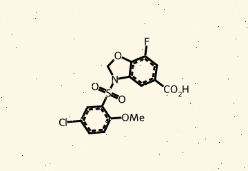 COc1ccc(Cl)cc1S(=O)(=O)N1COc2c(F)cc(C(=O)O)cc21